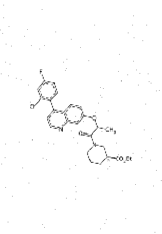 CCOC(=O)[C@H]1CCCN(C(=O)C(C)Oc2ccc3c(-c4ccc(F)cc4Cl)ccnc3c2)C1